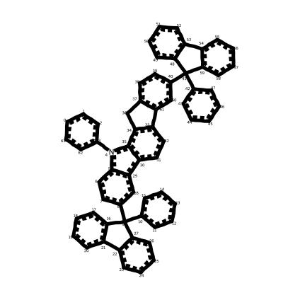 c1ccc(-n2c3ccc(C4(c5ccccc5)c5ccccc5-c5ccccc54)cc3c3ccc4c(c32)Cc2ccc(C3(c5ccccc5)c5ccccc5-c5ccccc53)cc2-4)cc1